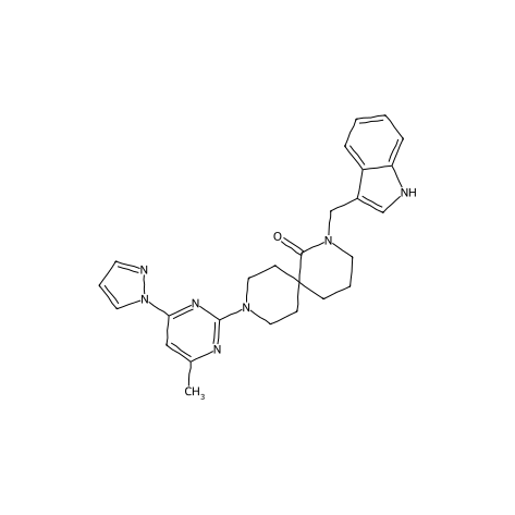 Cc1cc(-n2cccn2)nc(N2CCC3(CCCN(Cc4c[nH]c5ccccc45)C3=O)CC2)n1